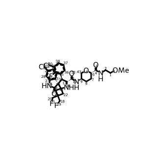 COCCNC(=O)[C@@H]1CC[C@@H](NC(=O)[C@@H]2NC3(CC(CF)(CF)C3)[C@@]3(C(=O)Nc4cc(Cl)ccc43)[C@H]2c2cccc(Cl)c2F)CO1